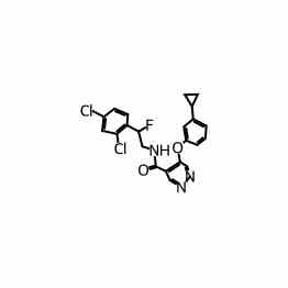 O=C(NCC(F)c1ccc(Cl)cc1Cl)c1cnncc1Oc1cccc(C2CC2)c1